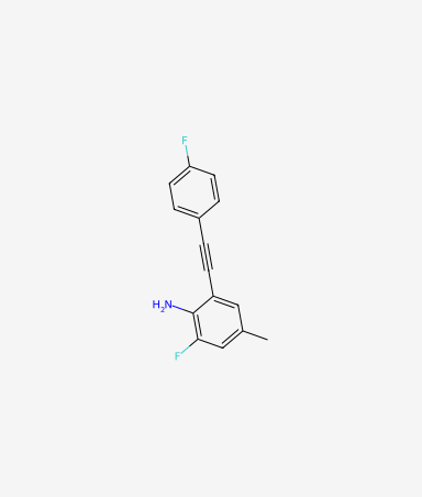 Cc1cc(F)c(N)c(C#Cc2ccc(F)cc2)c1